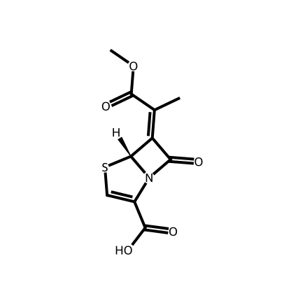 COC(=O)C(C)=C1C(=O)N2C(C(=O)O)=CS[C@H]12